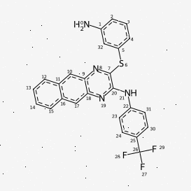 Nc1cccc(Sc2nc3cc4ccccc4cc3nc2Nc2ccc(C(F)(F)F)cc2)c1